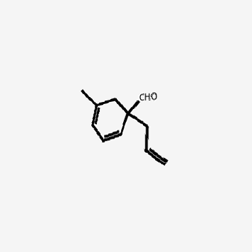 C=CCC1(C=O)C=CC=C(C)C1